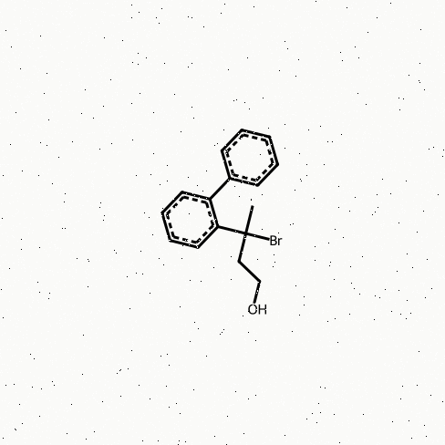 CC(Br)(CCO)c1ccccc1-c1ccccc1